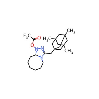 CC12CC3(C)CC(C)(C1)CC(CC1=NN(OC(=O)C(F)(F)F)C4CCCCCCN14)(C2)C3